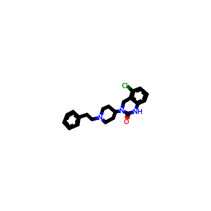 O=C1Nc2cccc(Cl)c2CN1C1CCN(CCc2ccccc2)CC1